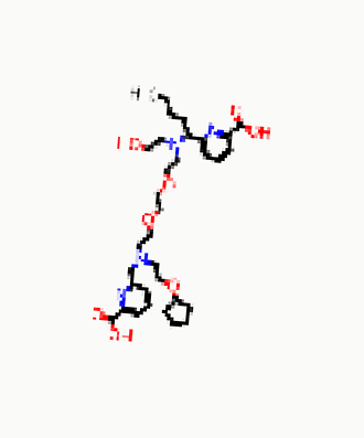 CCCCC(c1cccc(C(=O)O)n1)N(CCO)CCOCCOCCN(CCOC1CCCC1)Cc1cccc(C(=O)O)n1